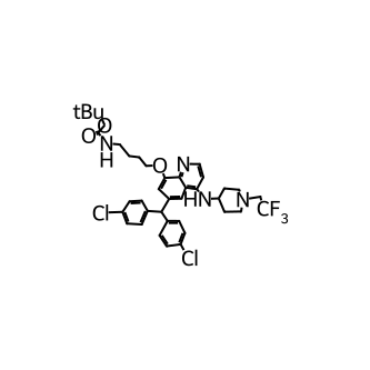 CC(C)(C)OC(=O)NCCCCOc1cc(C(c2ccc(Cl)cc2)c2ccc(Cl)cc2)cc2c(NC3CCN(CC(F)(F)F)CC3)ccnc12